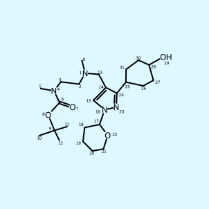 CN(CCN(C)C(=O)OC(C)(C)C)Cc1cn(C2CCCCO2)nc1C1CCC(O)CC1